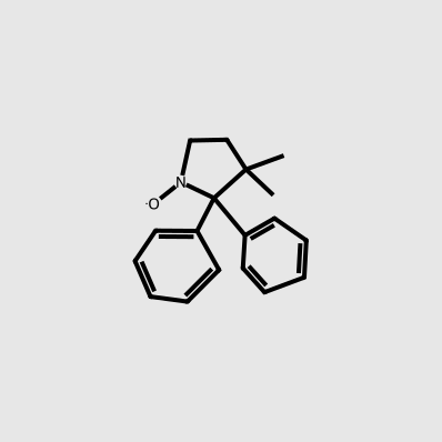 CC1(C)CCN([O])C1(c1ccccc1)c1ccccc1